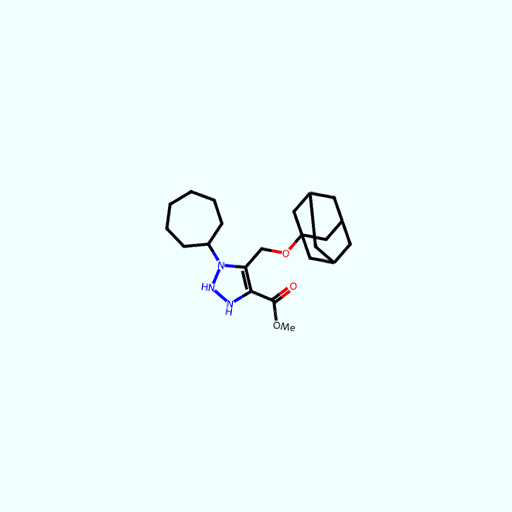 COC(=O)C1=C(COC23CC4CC(CC(C4)C2)C3)N(C2CCCCCC2)NN1